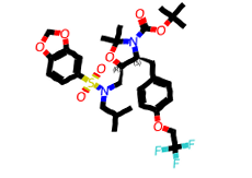 CC(C)CN(C[C@H]1OC(C)(C)N(C(=O)OC(C)(C)C)[C@H]1Cc1ccc(OCC(F)(F)F)cc1)S(=O)(=O)c1ccc2c(c1)OCO2